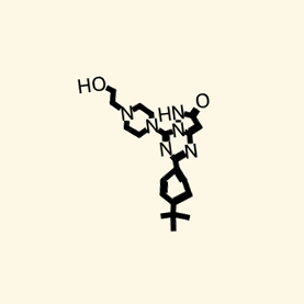 CC(C)(C)c1ccc(-c2nc(N3CCN(CCO)CC3)n3[nH]c(=O)cc3n2)cc1